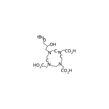 CC(C)(C)OCC(O)CN1CCN(CC(=O)O)CCN(CC(=O)O)CCN(CC(=O)O)CC1